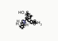 C=C/C(=C\C(=C/C)c1nn(-c2nc(C(=O)O)cs2)c(CC2CC2)c1Cc1ccc(S(N)(=O)=O)cc1)Nc1ccccc1